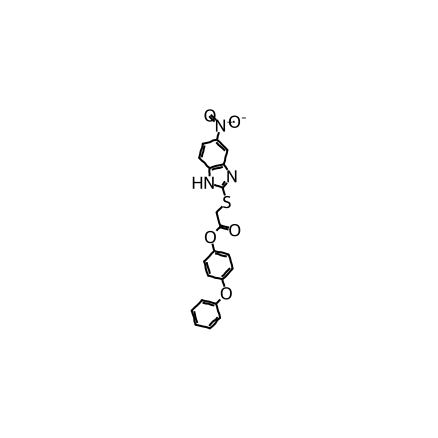 O=C(CSc1nc2cc([N+](=O)[O-])ccc2[nH]1)Oc1ccc(Oc2ccccc2)cc1